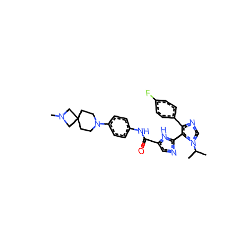 CC(C)n1cnc(-c2ccc(F)cc2)c1-c1ncc(C(=O)Nc2ccc(N3CCC4(CC3)CN(C)C4)cc2)[nH]1